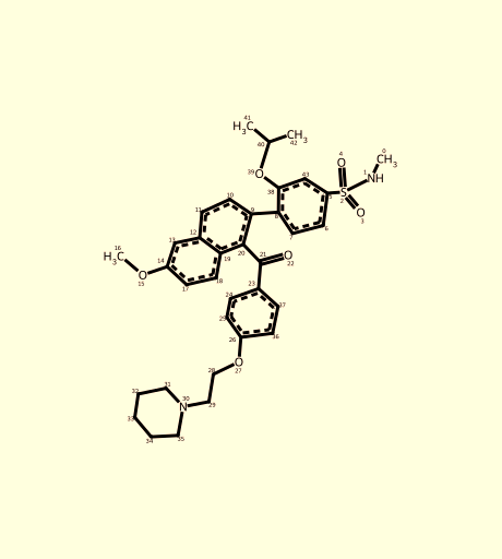 CNS(=O)(=O)c1ccc(-c2ccc3cc(OC)ccc3c2C(=O)c2ccc(OCCN3CCCCC3)cc2)c(OC(C)C)c1